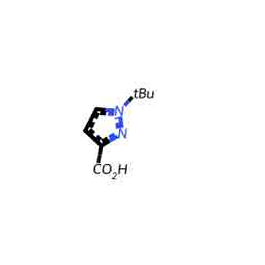 CC(C)(C)n1ccc(C(=O)O)n1